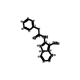 CC(C)(C)c1c(NC(=O)Cc2ccccc2)nn2cccnc12